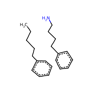 CCCCCc1ccccc1.NCCCCc1ccccc1